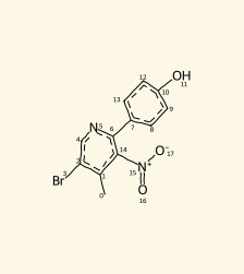 Cc1c(Br)cnc(-c2ccc(O)cc2)c1[N+](=O)[O-]